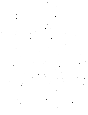 Cc1cnc2nnc(SCc3ccc(C(F)(F)F)cc3)n2c1C